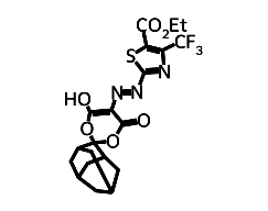 CCOC(=O)c1sc(N=NC2=C(O)OC3(OC2=O)C2CC4CC(C2)CC3C4)nc1C(F)(F)F